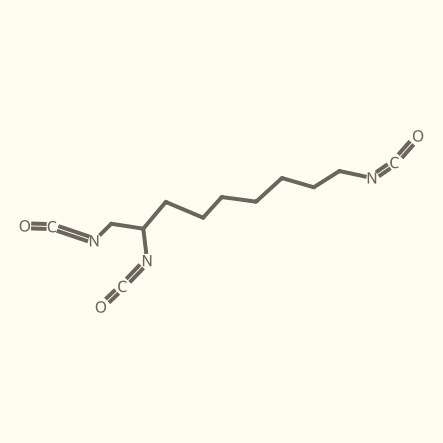 O=C=NCCCCCCCC(CN=C=O)N=C=O